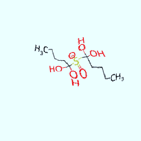 CCCCC(O)(O)S(=O)(=O)C(O)(O)CCCC